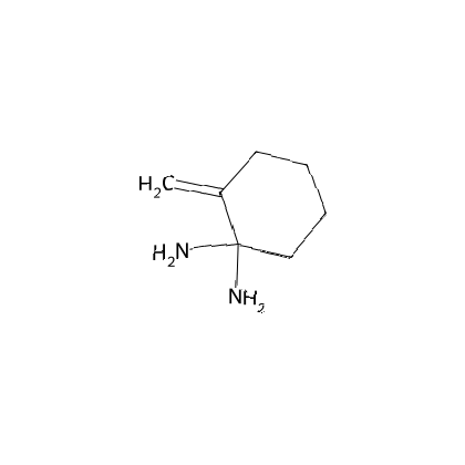 C=C1CCCCC1(N)N